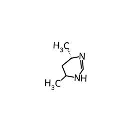 CC1C[C@H](C)N=CN1